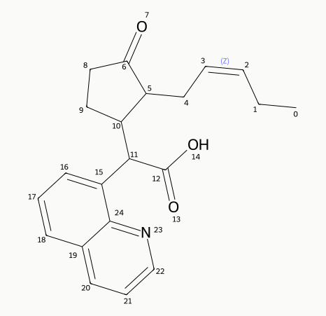 CC/C=C\CC1C(=O)CCC1C(C(=O)O)c1cccc2cccnc12